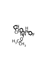 CC(C)COCc1nc(Nc2ccc(F)cc2)c2ccc(-c3ncccc3Cl)nc2n1